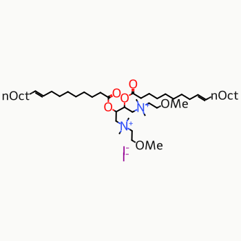 CCCCCCCCC=CCCCCCCCC(=O)OC(C[N+](C)(C)CCOC)C(C[N+](C)(C)CCOC)OC(=O)CCCCCCCC=CCCCCCCCC.[I-].[I-]